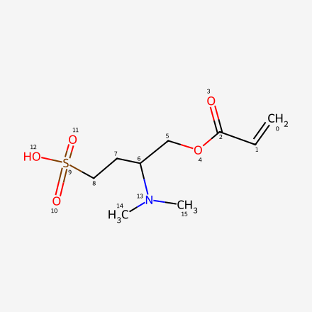 C=CC(=O)OCC(CCS(=O)(=O)O)N(C)C